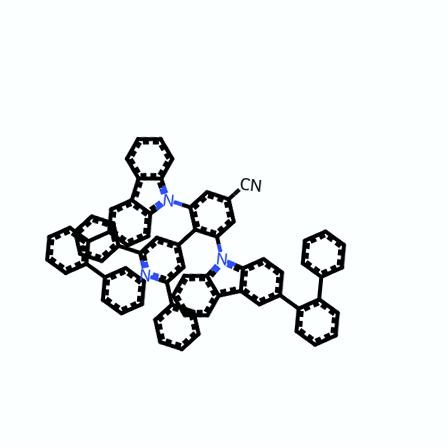 N#Cc1cc(-n2c3ccccc3c3cc(-c4ccccc4-c4ccccc4)ccc32)c(-c2cc(-c3ccccc3)nc(-c3ccccc3)c2)c(-n2c3ccccc3c3cc(-c4ccccc4-c4ccccc4)ccc32)c1